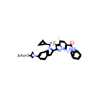 COC1CN(c2ccc3cc(-c4nn5cc(C(=O)N6CC7CCC6C7N)cc(F)c5c4C)n(CC4CC4)c3c2)C1